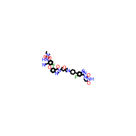 CCN(C)S(=O)(=O)Nc1ccc(F)c(Oc2ccc3ncn([C@H]4COC5(C4)CN(C4CCC(c6cc7c(cc6F)c(N6CCC(=O)NC6=O)nn7C)CC4)C5)c(=O)c3c2)c1C#N